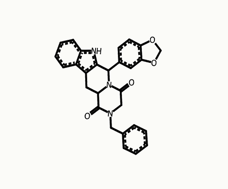 O=C1C2Cc3c([nH]c4ccccc34)C(c3ccc4c(c3)OCO4)N2C(=O)CN1Cc1ccccc1